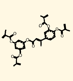 C=C(C)C(=O)Oc1cc(OC(=O)/C=C(\C)c2ccc(OC(=O)C(=C)C)c(OC(=O)C(=C)C)c2)cc(OC(=O)C(=C)C)c1